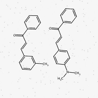 CN(C)c1ccc(C=CC(=O)c2ccccc2)cc1.Cc1cccc(C=CC(=O)c2ccccc2)c1